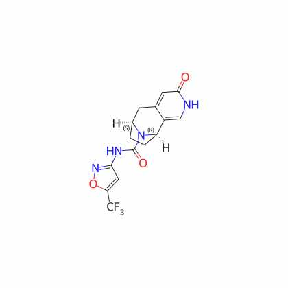 O=C(Nc1cc(C(F)(F)F)on1)N1[C@H]2CC[C@@H]1c1c[nH]c(=O)cc1C2